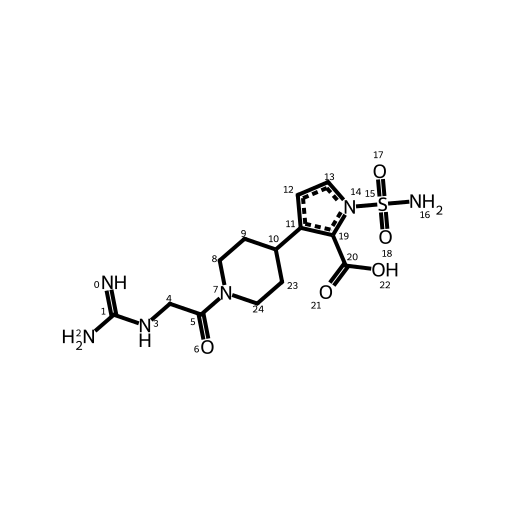 N=C(N)NCC(=O)N1CCC(c2ccn(S(N)(=O)=O)c2C(=O)O)CC1